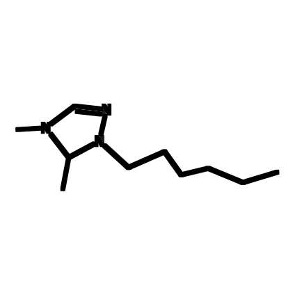 CCCCCCN1N=CN(C)C1C